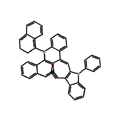 C1#Cc2c(n(-c3ccccc3)c3ccccc23)C=C(c2ccccc2N(C2=c3ccccc3=CCC2)c2cccc3ccccc23)C1